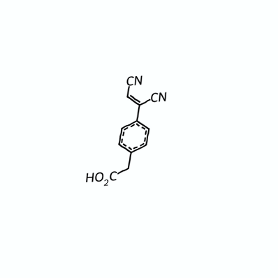 N#CC=C(C#N)c1ccc(CC(=O)O)cc1